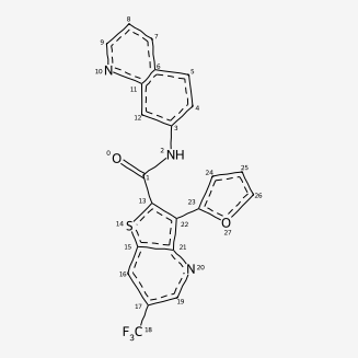 O=C(Nc1ccc2cccnc2c1)c1sc2cc(C(F)(F)F)cnc2c1-c1ccco1